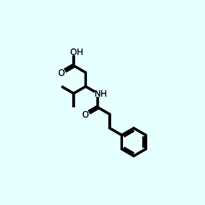 CC(C)C(CC(=O)O)NC(=O)CCc1ccccc1